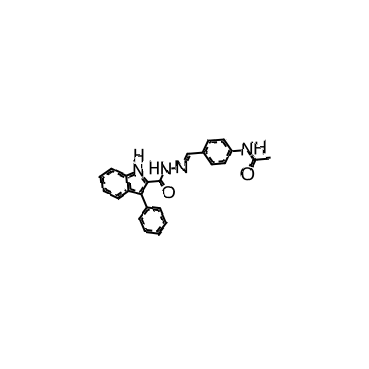 CC(=O)Nc1ccc(C=NNC(=O)c2[nH]c3ccccc3c2-c2ccccc2)cc1